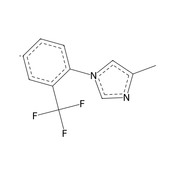 Cc1cn(-c2cc[c]cc2C(F)(F)F)cn1